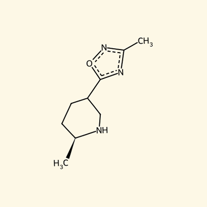 Cc1noc(C2CC[C@H](C)NC2)n1